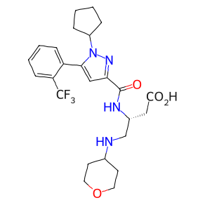 O=C(O)C[C@H](CNC1CCOCC1)NC(=O)c1cc(-c2ccccc2C(F)(F)F)n(C2CCCC2)n1